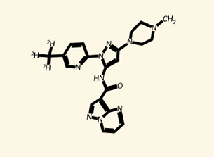 [2H]C([2H])([2H])c1ccc(-n2nc(N3CCN(C)CC3)cc2NC(=O)c2cnn3cccnc23)nc1